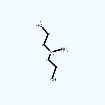 NN(CCO)CCO